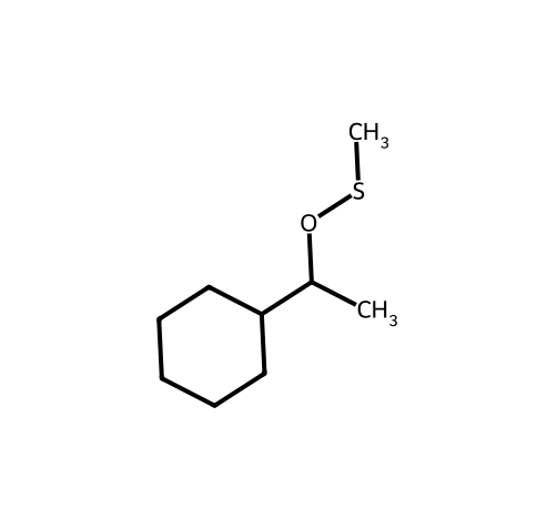 CSOC(C)C1CCCCC1